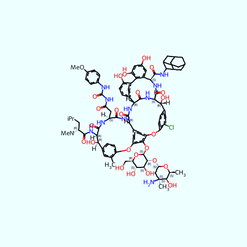 CN[C@H](CC(C)C)C(=O)N[C@H]1C(=O)N[C@@H](CC(=O)NC(=O)Nc2ccc(OC)cc2)C(=O)N[C@H]2C(=O)N[C@H]3C(=O)N[C@H](C(=O)N[C@H](C(=O)NC4C5CC6CC(C5)CC4C6)c4cc(O)cc(O)c4-c4cc3ccc4O)[C@H](O)c3ccc(c(Cl)c3)Oc3cc2cc(c3O[C@@H]2O[C@H](CO)[C@@H](O)[C@H](O)[C@H]2O[C@H]2C[C@](C)(N)[C@H](O)[C@H](C)O2)Oc2ccc(cc2C)[C@H]1O